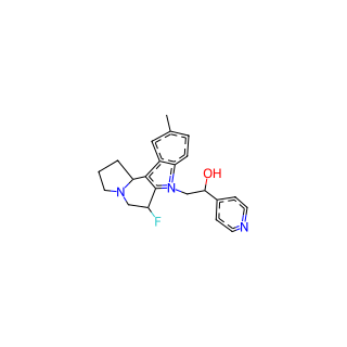 Cc1ccc2c(c1)c1c(n2CC(O)c2ccncc2)C(F)CN2CCCC12